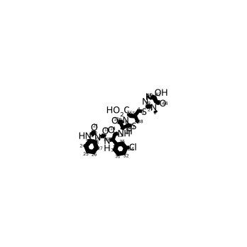 Cn1c(SCC2=C(C(=O)O)N3C(=O)C(NC(=O)C(NC(=O)n4c(=O)[nH]c5ccccc54)c4cccc(Cl)c4)[C@@H]3SC2)nnc(O)c1=O